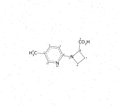 Cc1ccc(N2CCC2C(=O)O)nc1